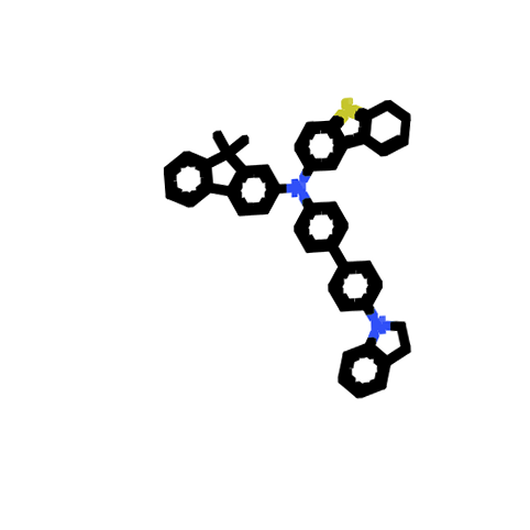 CC1(C)c2ccccc2-c2ccc(N(c3ccc(-c4ccc(N5CCc6ccccc65)cc4)cc3)c3ccc4sc5c(c4c3)C=CCC5)cc21